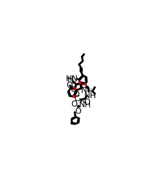 CCCCC#Cc1cccc2c1N[C@H]1Oc3ccc4cc3C21c1oc(nc1C(=O)OC)[C@H](C(C)C)NC(=O)[C@@H](NC(=O)OCc1ccccc1)C4